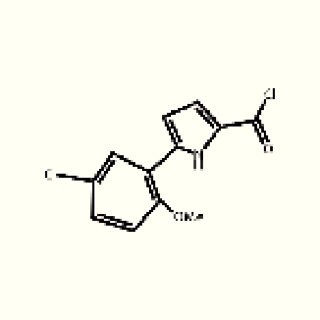 COc1ccc(Cl)cc1-c1ccc(C(=O)Cl)[nH]1